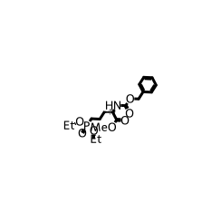 CCOP(=O)(CCC[C@@H](NC(=O)OCc1ccccc1)C(=O)OC)OCC